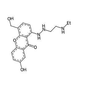 CCNCCNNc1ccc(CO)c2oc3ccc(O)cc3c(=O)c12